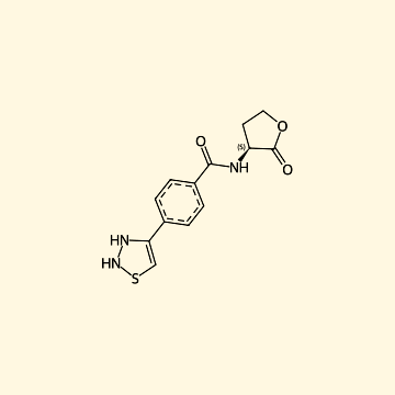 O=C(N[C@H]1CCOC1=O)c1ccc(C2=CSNN2)cc1